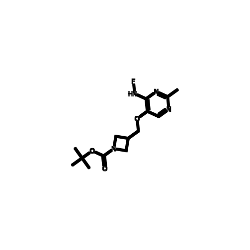 Cc1ncc(OCC2CN(C(=O)OC(C)(C)C)C2)c(NF)n1